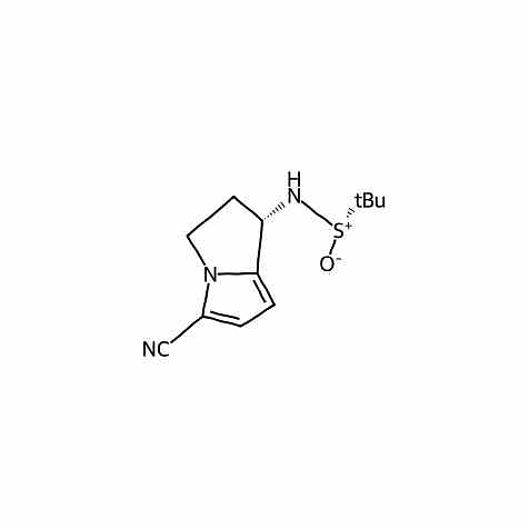 CC(C)(C)[S@+]([O-])N[C@H]1CCn2c(C#N)ccc21